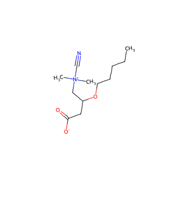 CCCCCOC(CC(=O)[O-])C[N+](C)(C)C#N